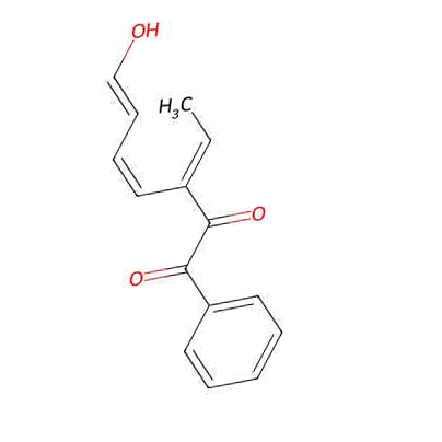 C/C=C(\C=C/C=CO)C(=O)C(=O)c1ccccc1